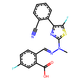 CN(/N=C/c1ccc(F)cc1C(=O)O)c1nc(-c2ccccc2C#N)c(F)s1